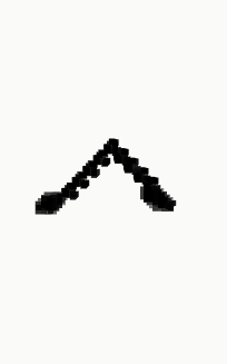 Br.Br.Br.Br.Br.Br.Br.Br.Br.CN(C)C.CN(C)C.CN(C)C.CN(C)C.CN(C)C.CN(C)C.CN(C)C.CN(C)C.CN(C)C